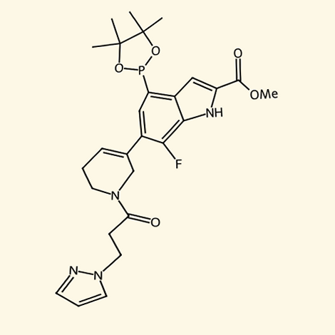 COC(=O)c1cc2c(P3OC(C)(C)C(C)(C)O3)cc(C3=CCCN(C(=O)CCn4cccn4)C3)c(F)c2[nH]1